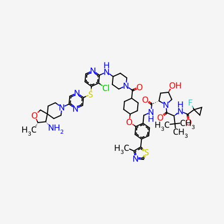 Cc1ncsc1-c1ccc(CNC(=O)[C@@H]2C[C@@H](O)CN2C(=O)[C@@H](NC(=O)C2(F)CC2)C(C)(C)C)c(OC2CCC(C(=O)N3CCC(Nc4nccc(Sc5cnc(N6CCC7(CC6)CO[C@@H](C)[C@H]7N)cn5)c4Cl)CC3)CC2)c1